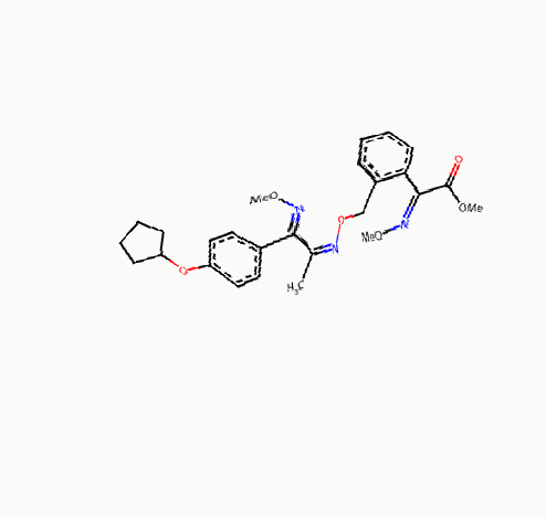 CON=C(C(C)=NOCc1ccccc1C(=NOC)C(=O)OC)c1ccc(OC2CCCC2)cc1